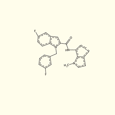 Cn1ccc2cccc(NC(=O)c3cc4cc(F)ccc4n3Cc3cccc(F)c3)c21